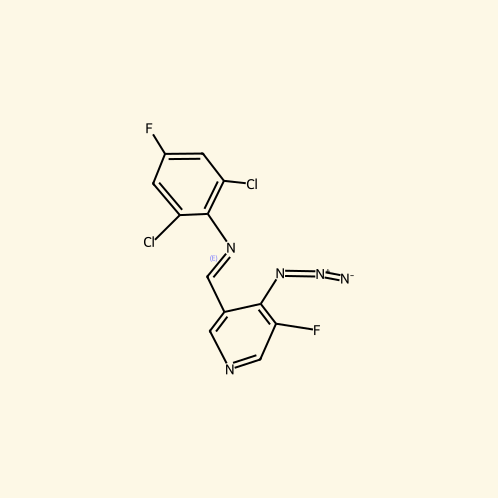 [N-]=[N+]=Nc1c(F)cncc1/C=N/c1c(Cl)cc(F)cc1Cl